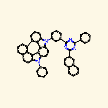 c1ccc(-c2nc(-c3cccc(-n4c5cccc6c5c5c7c8c9c-6cccc9ccc8n(-c6ccccc6)c7ccc54)c3)nc(-c3ccc4ccccc4c3)n2)cc1